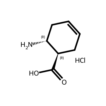 Cl.N[C@@H]1CC=CC[C@H]1C(=O)O